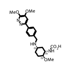 COc1cc(-c2ccc(CN[C@H]3CC[C@H](OC)[C@@H](NC(=O)O)C3)cc2)nnc1OC